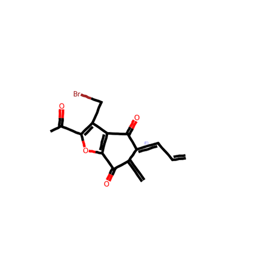 C=C/C=C1\C(=C)C(=O)c2oc(C(C)=O)c(CBr)c2C1=O